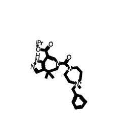 CC(C)OC(=O)C1=CN(C(=O)N2CCC[N+](C)(Cc3ccccc3)CC2)CC(C)(C)c2cn[nH]c21